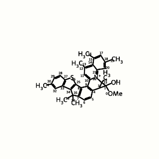 COC1(O)C2c3ccc4c(c3-c3cc(C)c5c(C)cc(C)cc5[n+]3C21C)-c1sc2ccc(C)cc2c1C4(C)C